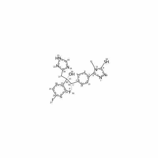 C[C@@H](c1ccc(-c2nnc(S)n2C)cc1)[C@](O)(Cc1nc[nH]n1)c1ccc(F)cc1F